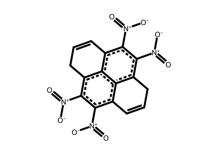 O=[N+]([O-])c1c([N+](=O)[O-])c2c3c(c([N+](=O)[O-])c([N+](=O)[O-])c4c3c1C=CC4)C=CC2